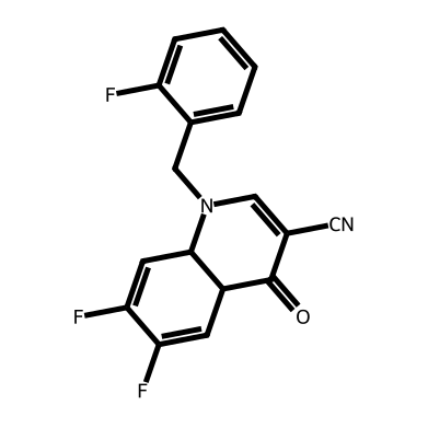 N#CC1=CN(Cc2ccccc2F)C2C=C(F)C(F)=CC2C1=O